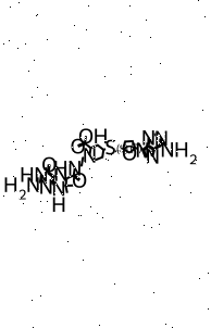 CC1(C)Nc2nc(N)[nH]c(=O)c2N=C1C(=O)NCCN1CCC(SC[C@@H]2CC[C@H](n3cnc4c(N)ncnc43)O2)CC1C(=O)O